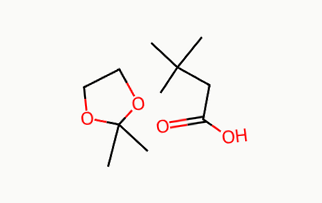 CC(C)(C)CC(=O)O.CC1(C)OCCO1